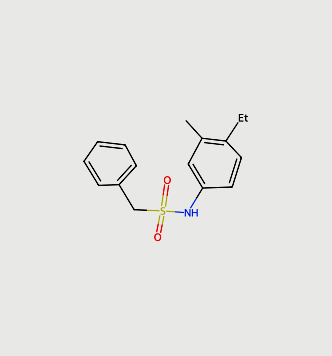 CCc1ccc(NS(=O)(=O)Cc2ccccc2)cc1C